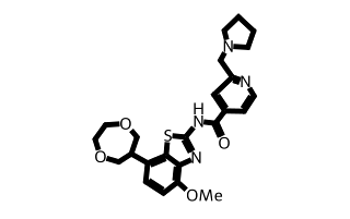 COc1ccc(C2COCCOC2)c2sc(NC(=O)c3ccnc(CN4CCCC4)c3)nc12